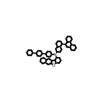 c1ccc(-c2ccc(-c3ccc(N(c4ccc5c(-c6cc7ccccc7c7ccccc67)cccc5c4)c4cccc5oc6cc7ccccc7cc6c45)cc3)cc2)cc1